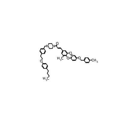 CCCCc1ccc(OCCc2ccc(CN3CCN(C(=O)/C=C/c4cc(C)c(Oc5ccc(OCc6ccc(C)cc6)cn5)c(Cl)c4)CC3)cc2)cc1